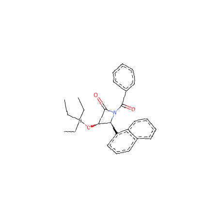 CC[Si](CC)(CC)O[C@H]1C(=O)N(C(=O)c2ccccc2)[C@H]1c1cccc2ccccc12